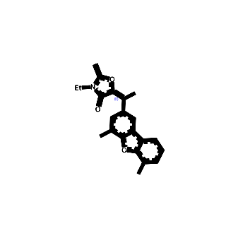 C=c1o/c(=C(\C)c2cc(C)c3oc4c(C)cccc4c3c2)c(=O)n1CC